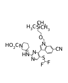 C[Si](C)(C)CCOCn1cc(-c2nc(N[C@H]3CCCN(C(=O)O)C3)ncc2SC(F)F)c2ccc(C#N)cc21